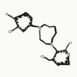 Fc1ccc(N2CCCN(c3c(Cl)ccnc3Cl)CC2)cc1Cl